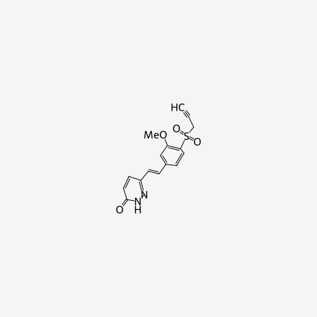 C#CCS(=O)(=O)c1ccc(C=Cc2ccc(=O)[nH]n2)cc1OC